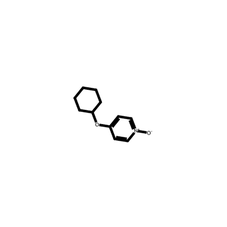 [O-][n+]1ccc(OC2CCCCC2)cc1